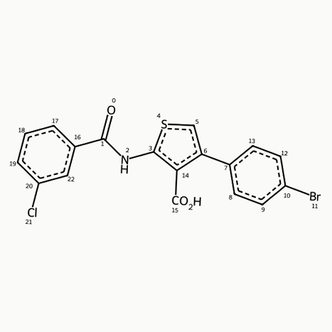 O=C(Nc1scc(-c2ccc(Br)cc2)c1C(=O)O)c1cccc(Cl)c1